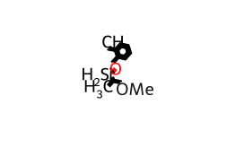 C=Cc1ccccc1CO[SiH2]C(C)COC